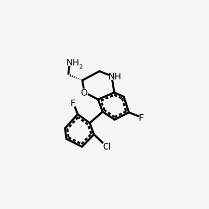 NC[C@@H]1CNc2cc(F)cc(-c3c(F)cccc3Cl)c2O1